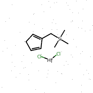 C[Si](C)(C)CC1=C[CH]C=C1.[Cl][Hf][Cl]